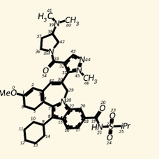 COC1=CC2=C(CC1)c1c(C3CCCCC3)c3ccc(C(=O)NS(=O)(=O)C(C)C)cc3n1CC(c1c(C(=O)N3CCC(N(C)C)C3)cnn1C)=C2